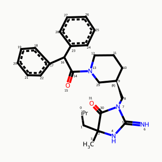 CC(C)CC1(C)NC(=N)N(C[C@@H]2CCCN(C(=O)C(c3ccccc3)c3ccccc3)C2)C1=O